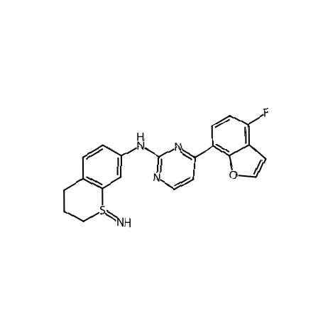 N=S1CCCc2ccc(Nc3nccc(-c4ccc(F)c5ccoc45)n3)cc21